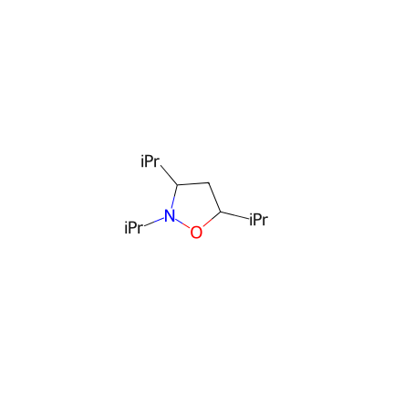 CC(C)C1CC(C(C)C)N(C(C)C)O1